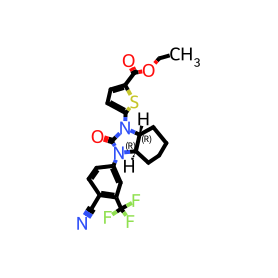 CCOC(=O)c1ccc(N2C(=O)N(c3ccc(C#N)c(C(F)(F)F)c3)[C@@H]3CCCC[C@H]32)s1